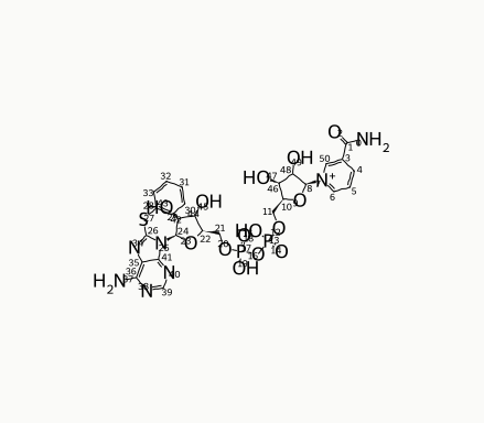 NC(=O)c1ccc[n+]([C@H]2O[C@@H](COP(=O)(O)OP(=O)(O)OC[C@H]3O[C@@H](n4c(Sc5ccccc5)nc5c(N)ncnc54)[C@@H](O)C3O)[C@@H](O)C2O)c1